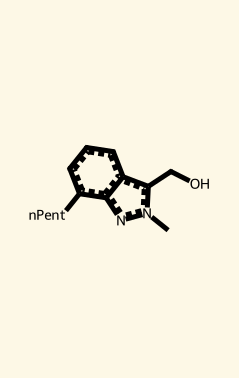 CCCCCc1cccc2c(CO)n(C)nc12